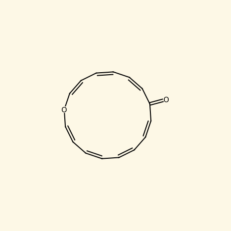 O=C1C=CC=CC=CC=COC=CC=CC=C1